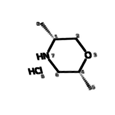 C[C@@H]1CO[C@H](C)CN1.Cl